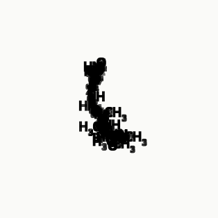 CCc1cc(Nc2ncc(Br)c(Nc3ccc4nc(C)ccc4c3P(C)(C)=O)n2)c(OC)cc1N1CCC(NCCNCC2CN(c3ccc(C4CCC(=O)NC4=O)c(C#N)c3)C2)CC1